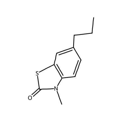 CCCc1ccc2c(c1)sc(=O)n2C